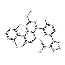 CSc1nc(-c2cc(-c3ccsc3C(N)=O)ccc2C)c2ccc(=O)n(-c3c(F)cccc3F)c2n1